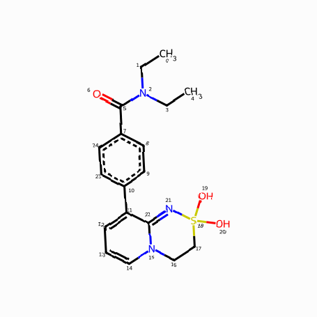 CCN(CC)C(=O)c1ccc(C2=CC=CN3CCS(O)(O)N=C23)cc1